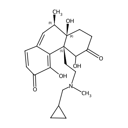 C[C@@H]1C=C2C=CC(=O)C(O)=C2[C@@]2(CCN(C)CC3CC3)C(O)C(=O)CC[C@@]12O